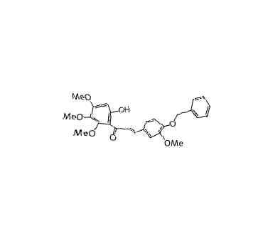 COc1cc(/C=C/C(=O)c2c(O)cc(OC)c(OC)c2OC)ccc1OCc1ccccc1